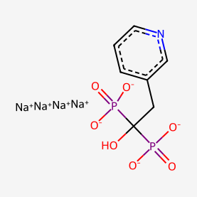 O=P([O-])([O-])C(O)(Cc1cccnc1)P(=O)([O-])[O-].[Na+].[Na+].[Na+].[Na+]